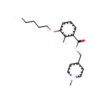 CCCCCCCCCCCCCCOc1cccc(C(=O)NCc2cc[n+](C)cc2)c1OC.[I-]